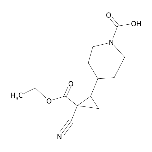 CCOC(=O)C1(C#N)CC1C1CCN(C(=O)O)CC1